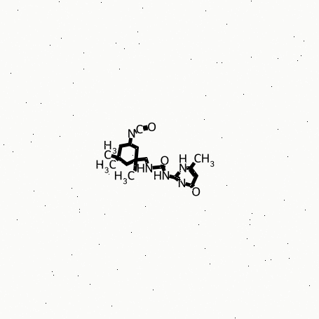 CCC1(CNC(=O)Nc2nc(=O)cc(C)[nH]2)CC(N=C=O)CC(C)(C)C1